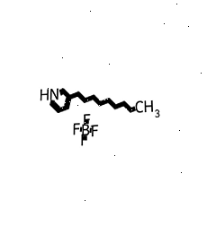 CCCCCCCCCc1ccc[nH+]c1.F[B-](F)(F)F